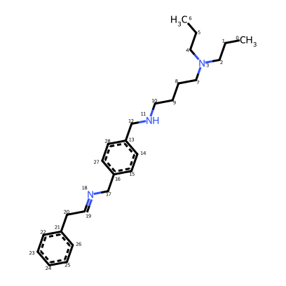 CCCN(CCC)CCCCNCc1ccc(C/N=C/Cc2ccccc2)cc1